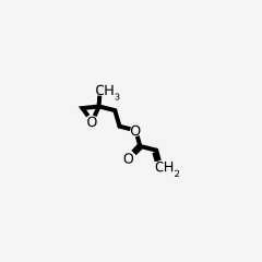 C=CC(=O)OCCC1(C)CO1